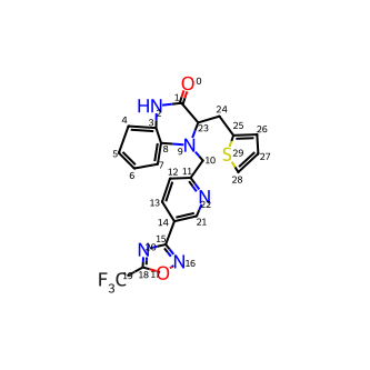 O=C1Nc2ccccc2N(Cc2ccc(-c3noc(C(F)(F)F)n3)cn2)C1Cc1cccs1